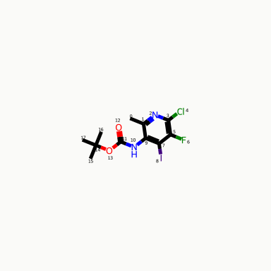 Cc1nc(Cl)c(F)c(I)c1NC(=O)OC(C)(C)C